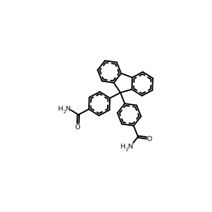 NC(=O)c1ccc(C2(c3ccc(C(N)=O)cc3)c3ccccc3-c3ccccc32)cc1